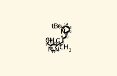 C=Cc1cc(C(C)(C)C/C=C/c2cccc(C(C)(C)C)n2)ncn1